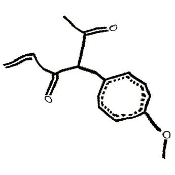 C=CC(=O)C(C(C)=O)c1ccc(OC)cc1